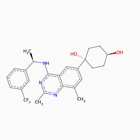 Cc1nc(N[C@H](C)c2cccc(C(F)(F)F)c2)c2cc([C@]3(O)CC[C@H](O)CC3)cc(C)c2n1